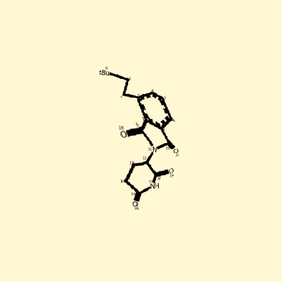 CC(C)(C)CCc1cccc2c1C(=O)N(C1CCC(=O)NC1=O)C2=O